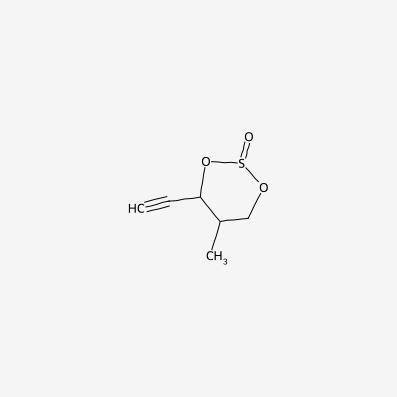 C#CC1OS(=O)OCC1C